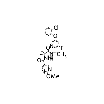 COc1ncc(C(=O)NC2(C(=O)NC(C)c3ncc(Oc4ccccc4Cl)cc3F)CC2)cn1